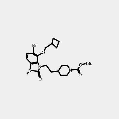 Cn1c(=O)n(CCC2CCN(C(=O)OC(C)(C)C)CC2)c2c(OCC3CCC3)c(Br)ccc21